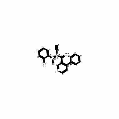 C#C[N+](C(=O)c1cnccc1-c1ccccc1)=S(C)c1ccccc1[O-]